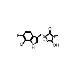 CN1C(=O)[C@@H](Cc2c[nH]c3c(Cl)c(F)ccc23)NC1O